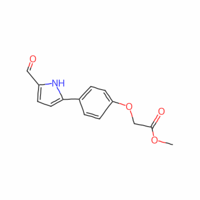 COC(=O)COc1ccc(-c2ccc(C=O)[nH]2)cc1